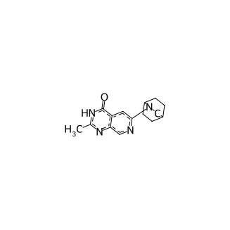 Cc1nc2cnc(N3CC4CCC3CC4)cc2c(=O)[nH]1